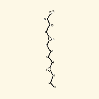 CCCOCCCCOCCC[S]